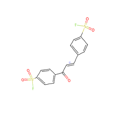 O=C(/C=C/c1ccc(S(=O)(=O)F)cc1)c1ccc(S(=O)(=O)F)cc1